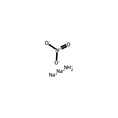 O=[N+]([O-])[O-].[NH2-].[Na+].[Na+]